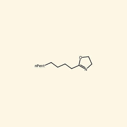 CCCCCCCCCC1=NCCO1